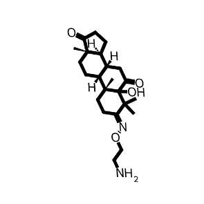 CC1(C)C(=NOCCN)CC[C@]2(C)[C@@H]3CC[C@]4(C)C(=O)CC[C@H]4[C@@H]3CC(=O)C12O